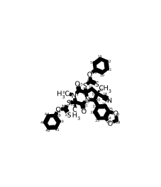 CN1C(=O)C2(SC(=S)Oc3ccccc3)C[C@](C)(C#N)C(c3ccc4c(c3)OCO4)N2C(=O)[C@]1(C)SC(=S)Oc1ccccc1